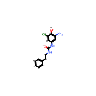 Nc1cc(NC(=O)NCCc2ccccc2)cc(Cl)c1O